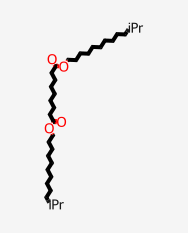 CC(C)CCCCCCCCCCOC(=O)CCCCCCCC(=O)OCCCCCCCCCCC(C)C